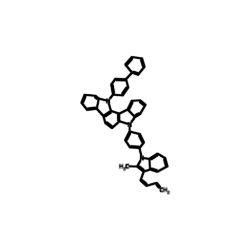 C=C/C=C\c1c(C)n(-c2ccc(-n3c4ccccc4c4c3ccc3c5ccccc5n(-c5ccc(-c6ccccc6)cc5)c34)cc2)c2ccccc12